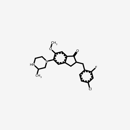 COc1cc2c(cc1N1CCNC(C)C1)CC(Cc1ccc(Cl)cc1F)C2=O